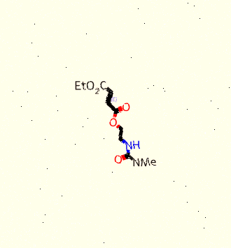 CCOC(=O)/C=C/C(=O)OCCNC(=O)NC